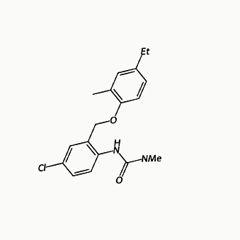 CCc1ccc(OCc2cc(Cl)ccc2NC(=O)NC)c(C)c1